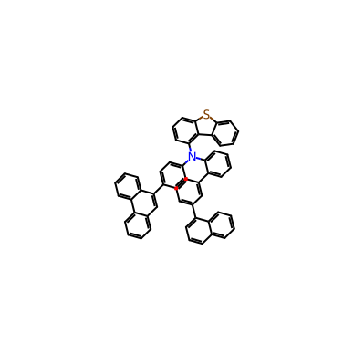 c1cc(-c2ccccc2N(c2ccc(-c3cc4ccccc4c4ccccc34)cc2)c2cccc3sc4ccccc4c23)cc(-c2cccc3ccccc23)c1